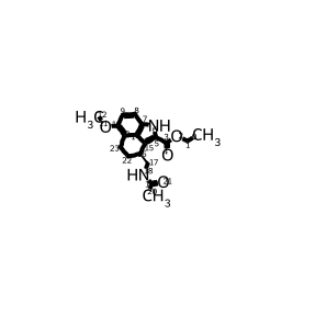 CCOC(=O)c1[nH]c2ccc(OC)c3c2c1[C@@H](CNC(C)=O)CC3